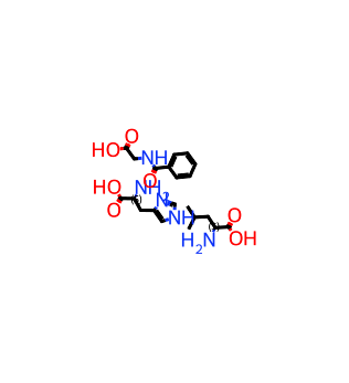 CC(C)C[C@H](N)C(=O)O.N[C@@H](Cc1c[nH]cn1)C(=O)O.O=C(O)CNC(=O)c1ccccc1